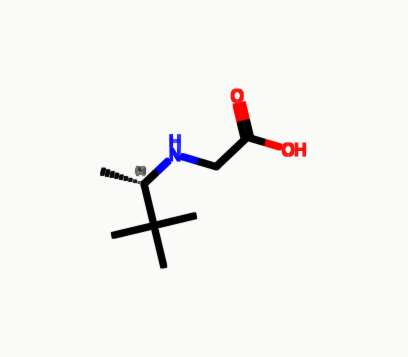 C[C@H](NCC(=O)O)C(C)(C)C